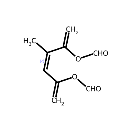 C=C(/C=C(/C)C(=C)OC=O)OC=O